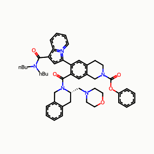 CCCCN(CCCC)C(=O)c1cc(-c2cc3c(cc2C(=O)N2Cc4ccccc4C[C@H]2CN2CCOCC2)CN(C(=O)Oc2ccccc2)CC3)n2ccccc12